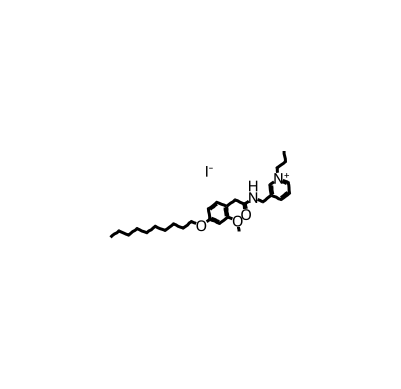 CCCCCCCCCCOc1ccc(CC(=O)NCc2ccc[n+](CCC)c2)c(OC)c1.[I-]